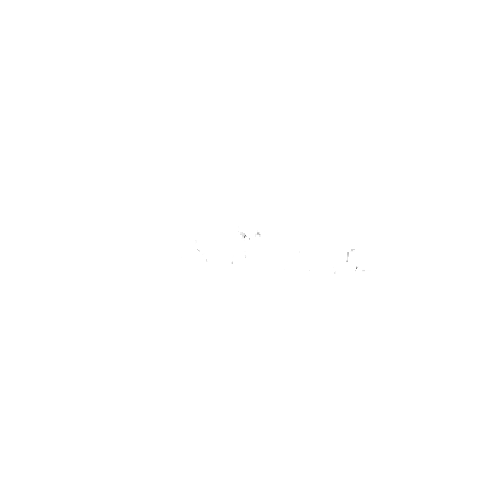 CCCCC/C=C/C/C=C(/CCCCCCCC(=O)O)[N+](=O)[O-]